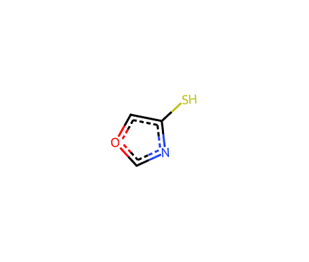 Sc1cocn1